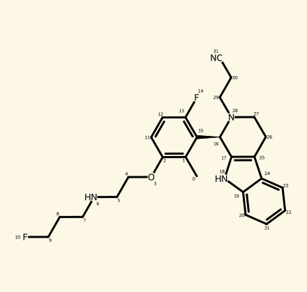 Cc1c(OCCNCCCF)ccc(F)c1[C@@H]1c2[nH]c3ccccc3c2CCN1CCC#N